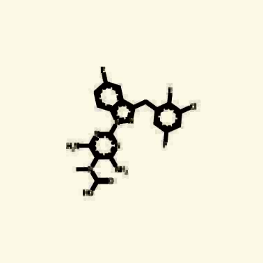 CN(C(=O)O)c1c(N)nc(-n2nc(Cc3cc(F)cc(Cl)c3F)c3cc(F)ccc32)nc1N